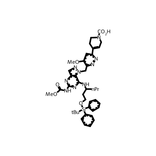 CCCC(CCO[Si](c1ccccc1)(c1ccccc1)C(C)(C)C)Nc1nc(NC(=O)OC)nc2cnn(Cc3nnc(C4=CCN(C(=O)O)CC4)cc3OC)c12